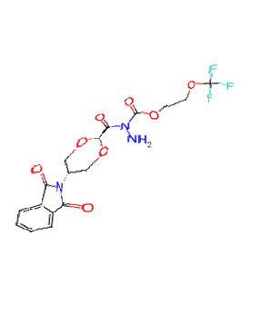 NN(C(=O)OCCOC(F)(F)F)C(=O)[C@H]1OC[C@H](N2C(=O)c3ccccc3C2=O)CO1